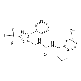 O=C(NCc1cc(C(F)(F)F)nn1-c1cccnc1)NC1CCCc2ccc(O)cc21